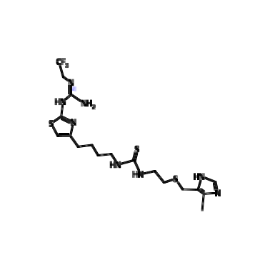 Cc1nc[nH]c1CSCCNC(=S)NCCCCc1csc(N/C(N)=N\CC(F)(F)F)n1